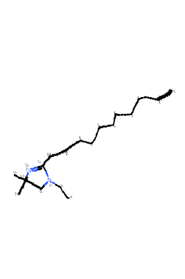 CCCCCCCCCCCC1=NC(C)(C)CN1CC